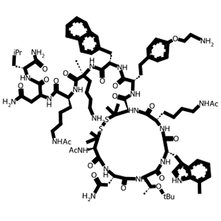 CC(=O)NCCCC[C@@H]1NC(=O)[C@H](Cc2c[nH]c3c(C)cccc23)NC(=O)[C@H]([C@@H](C)OC(C)(C)C)NC(=O)[C@H](CC(N)=O)NC(=O)[C@@H](NC(C)=O)C(C)(C)SSC(C)(C)[C@@H](C(=O)N[C@@H](CCc2ccc(OCCN)cc2)C(=O)N[C@@H](Cc2ccc3ccccc3c2)C(=O)N[C@@](C)(CCCCN)C(=O)N[C@@H](CCCCNC(C)=O)C(=O)NC(CC(N)=O)C(=O)N[C@H](CC(C)C)C(N)=O)NC1=O